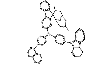 CC1CC2CC(C)C3(c4ccccc4-c4ccc(N(c5ccc(-c6cccc7ccccc67)cc5)c5ccc(-n6c7c(c8ccccc86)CCC=C7)cc5)cc43)C(C1)C2